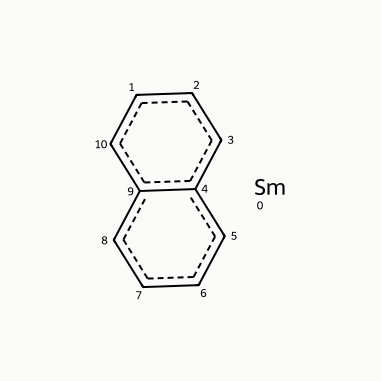 [Sm].c1ccc2ccccc2c1